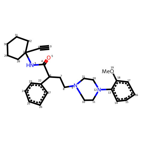 C#CC1(NC(=O)C(CCN2CCN(c3ccccc3OC)CC2)c2ccccc2)CCCCC1